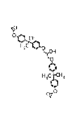 CC(C)(c1ccc(OCC(O)COc2ccc(C(C)(C)c3ccc(OC4CO4)cc3)cc2)cc1)c1ccc(OC2CO2)cc1